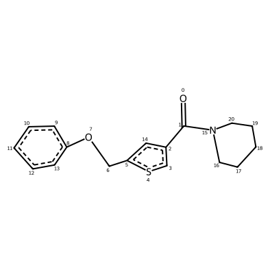 O=C(c1csc(COc2ccccc2)c1)N1CCCCC1